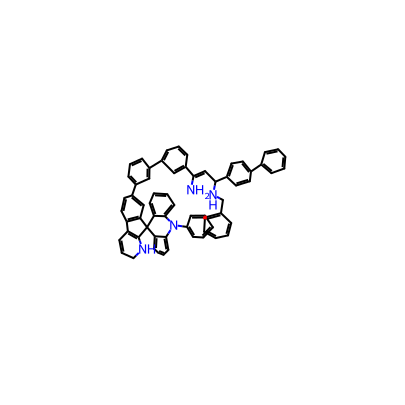 N/C(=C\C(NCc1ccccc1)c1ccc(-c2ccccc2)cc1)c1cccc(-c2cccc(-c3ccc4c(c3)C3(C5=C4C=CCN5)c4ccccc4N(c4ccccc4)c4ccccc43)c2)c1